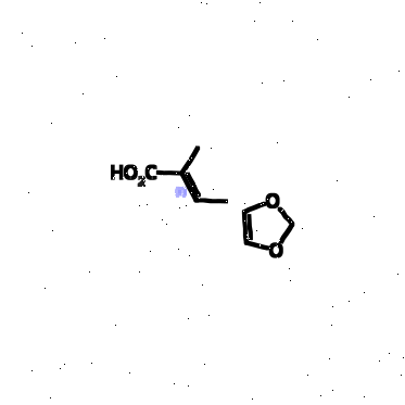 C/C=C(\C)C(=O)O.C1=COCO1